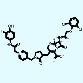 O=C(C[n+]1ccc(CN2CCC(=CC3=C(C(=O)[O-])N4C(=O)[C@@H](NC(=O)CSc5c(Cl)cccc5Cl)[C@H]4SC3)C2=O)cc1)Nc1ccc(O)c(F)c1